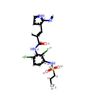 C=Nc1[nH]ccc1/C=C(\C)C(=O)Nc1c(F)ccc(NS(=O)(=O)CCC(F)(F)F)c1F